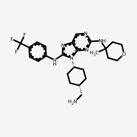 CC1(Nc2ncc3nc(Nc4ccc(C(F)(F)F)cc4)n([C@H]4CC[C@@H](CN)CC4)c3n2)CCOCC1